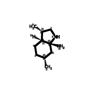 C[C@@H]1CC[C@H]2[C@H](C)CN[C@]2(N)C1